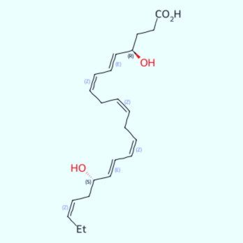 CC/C=C\C[C@H](O)/C=C/C=C\C/C=C\C/C=C\C=C\[C@H](O)CCC(=O)O